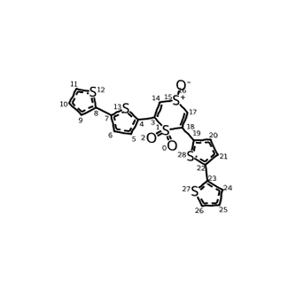 O=S1(=O)C(c2ccc(-c3cccs3)s2)=C[S+]([O-])C=C1c1ccc(-c2cccs2)s1